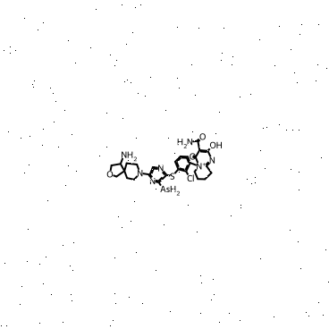 NC(=O)C1=C(O)N=C2CCCC[N+]2(c2cccc(Sc3ncc(N4CCC5(CC4)COCC5N)nc3[AsH2])c2Cl)C1=O